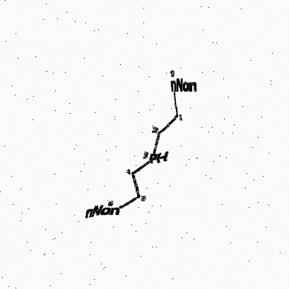 CCCCCCCCCCCPCCCCCCCCCCC